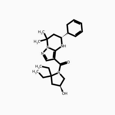 CCC1(CC)C[C@H](O)CN1C(=O)c1cnn2c1N[C@@H](C1C=CC=CC1)CC2(C)C